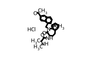 CN[C@@H](C)C(=O)N[C@H]1CCc2ccccc2N(Cc2c(OC)ccc3cc(C(C)=O)ccc23)C1=O.Cl